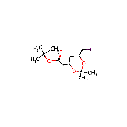 CC(C)(C)OC(=O)C[C@H]1C[C@@H](CI)OC(C)(C)O1